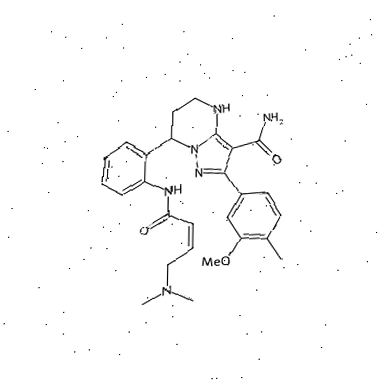 COc1cc(-c2nn3c(c2C(N)=O)NCCC3c2ccccc2NC(=O)C=CCN(C)C)ccc1C